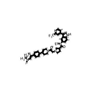 CCN(C(=O)C1CCN(CC(=O)N2CC=C(c3ccc(/C(N)=C/N(C)N)cc3)CC2)C1)c1ccc2[nH]nc(-c3ccnc(C(F)(F)F)c3)c2c1